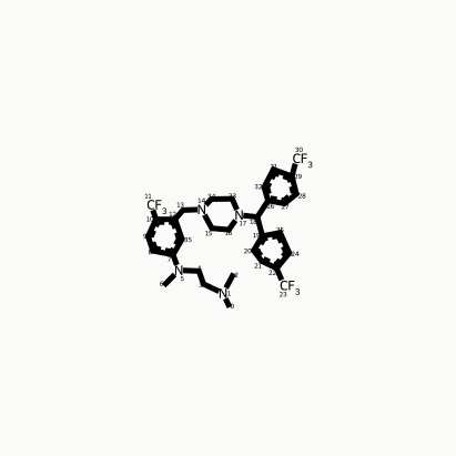 CN(C)CCN(C)c1ccc(C(F)(F)F)c(CN2CCN(C(c3ccc(C(F)(F)F)cc3)c3ccc(C(F)(F)F)cc3)CC2)c1